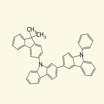 CC1(C)c2ccccc2-c2cc(-n3c4ccccc4c4ccc(-c5ccc6c(c5)c5ccccc5n6-c5ccccc5)cc43)ccc21